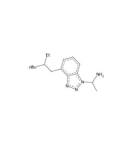 CCCCC(CC)Cc1cccc2c1nnn2C(C)N